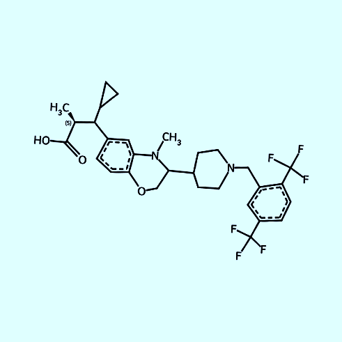 C[C@H](C(=O)O)C(c1ccc2c(c1)N(C)C(C1CCN(Cc3cc(C(F)(F)F)ccc3C(F)(F)F)CC1)CO2)C1CC1